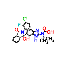 CC(C)N(C(=O)O)c1nc2ccc(C3(O)c4ccccc4C(=O)N3c3cccc(Cl)c3F)cc2[nH]1